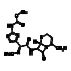 CON=C(C(=O)N[C@@H]1C(=O)N2C(C(=O)O)=CCS[C@@H]12)c1csc(NC(=O)OC(C)(C)C)n1